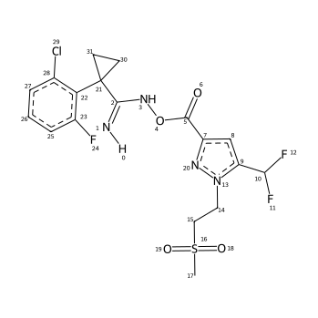 [H]/N=C(\NOC(=O)c1cc(C(F)F)n(CCS(C)(=O)=O)n1)C1(c2c(F)cccc2Cl)CC1